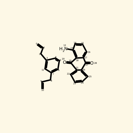 C=CCc1cccc(CC=C)c1.Nc1cccc2c1C(=O)c1ccccc1C2=O